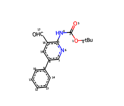 CC(C)(C)OC(=O)Nc1ncc(-c2ccccc2)cc1C=O